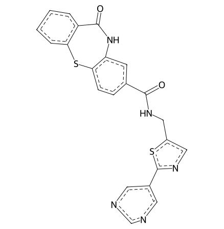 O=C(NCc1cnc(-c2cncnc2)s1)c1ccc2c(c1)NC(=O)c1ccccc1S2